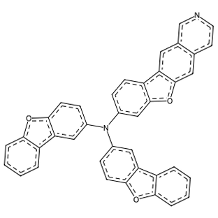 c1ccc2c(c1)oc1ccc(N(c3ccc4c(c3)oc3cc5ccncc5cc34)c3ccc4oc5ccccc5c4c3)cc12